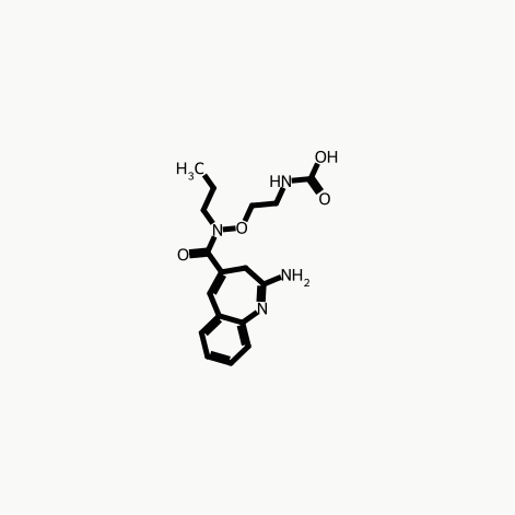 CCCN(OCCNC(=O)O)C(=O)C1=Cc2ccccc2N=C(N)C1